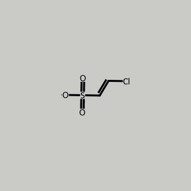 [O]S(=O)(=O)C=CCl